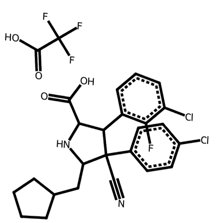 N#CC1(c2ccc(Cl)cc2)C(CC2CCCC2)NC(C(=O)O)C1c1cccc(Cl)c1F.O=C(O)C(F)(F)F